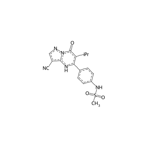 CC(C)c1c(-c2ccc(NS(C)(=O)=O)cc2)[nH]c2c(C#N)cnn2c1=O